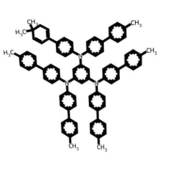 Cc1ccc(-c2ccc(N(c3ccc(C4=CCC(C)(C)C=C4)cc3)c3cc(N(c4ccc(-c5ccc(C)cc5)cc4)c4ccc(-c5ccc(C)cc5)cc4)cc(N(c4ccc(-c5ccc(C)cc5)cc4)c4ccc(-c5ccc(C)cc5)cc4)c3)cc2)cc1